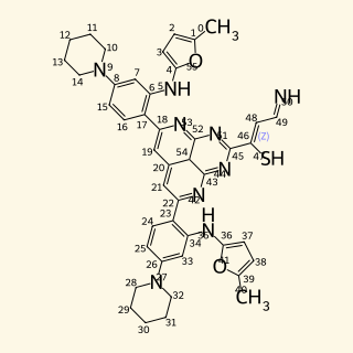 Cc1ccc(Nc2cc(N3CCCCC3)ccc2C2=CC3=CC(c4ccc(N5CCCCC5)cc4Nc4ccc(C)o4)=NC4=NC(/C(S)=C/C=N)=NC(=N2)C34)o1